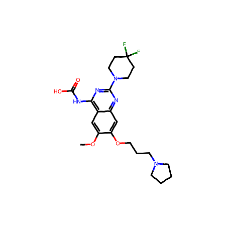 COc1cc2c(NC(=O)O)nc(N3CCC(F)(F)CC3)nc2cc1OCCCN1CCCC1